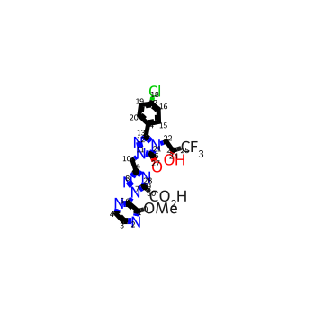 COc1nccnc1-n1nc(Cn2nc(-c3ccc(Cl)cc3)n(CC(O)C(F)(F)F)c2=O)nc1C(=O)O